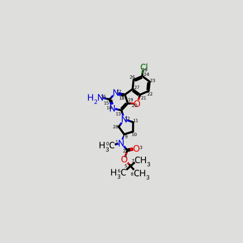 CN(C(=O)OC(C)(C)C)[C@@H]1CCN(c2nc(N)nc3c2oc2ccc(Cl)cc23)C1